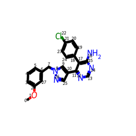 COc1cccc(Cn2cc(-c3ncnc(N)c3-c3ccc(Cl)cc3)cn2)c1